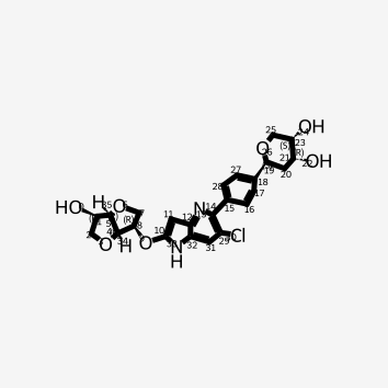 O[C@@H]1CO[C@H]2[C@@H]1OC[C@H]2Oc1cc2nc(-c3ccc([C@@H]4C[C@@H](O)[C@@H](O)CO4)cc3)c(Cl)cc2[nH]1